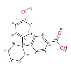 COc1ccc(C2(c3ccc(C(=O)O)cc3)CCCCC2)cc1